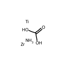 N.O=C(O)O.[Ti].[Zr]